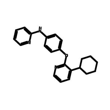 c1ccc(Nc2ccc(Oc3ncccc3C3CCCCC3)cc2)nc1